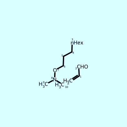 C=CC=O.CCCCCCCCCON(C)C